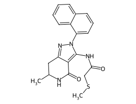 CSCC(=O)Nc1c2c(nn1-c1cccc3ccccc13)CC(C)NC2=O